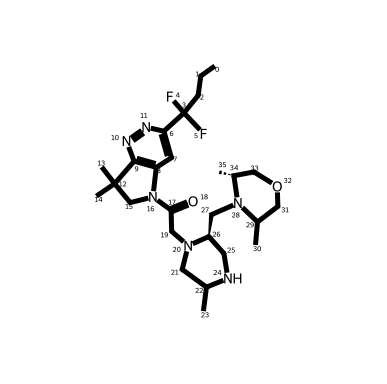 CCCC(F)(F)c1cc2c(nn1)C(C)(C)CN2C(=O)CN1CC(C)NC[C@@H]1CN1C(C)COC[C@H]1C